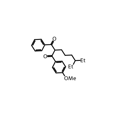 CCC(CC)CCCC(C(=O)c1ccccc1)C(=O)c1ccc(OC)cc1